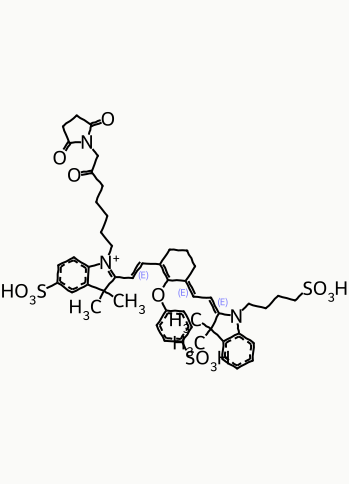 CC1(C)C(/C=C/C2=C(Oc3ccc(S(=O)(=O)O)cc3)C(=C/C=C3/N(CCCCS(=O)(=O)O)c4ccccc4C3(C)C)/CCC2)=[N+](CCCCCC(=O)CN2C(=O)CCC2=O)c2ccc(S(=O)(=O)O)cc21